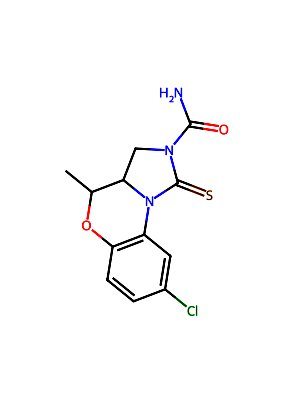 CC1Oc2ccc(Cl)cc2N2C(=S)N(C(N)=O)CC12